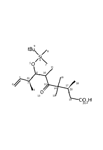 C=C[C@H](C)C(O[Si](C)(C)C(C)(C)C)C(C)C(=O)C(C)(C)[C@@H](C)CC(=O)O